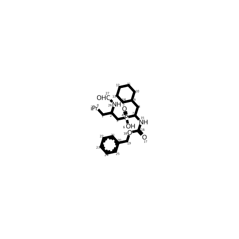 CC(C)CC(CP(=O)(O)C(CC1CCCCC1)NC(=O)OCc1ccccc1)NC=O